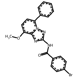 COc1ccc(-c2ccccc2)n2nc(NC(=O)c3ccc(Br)cc3)nc12